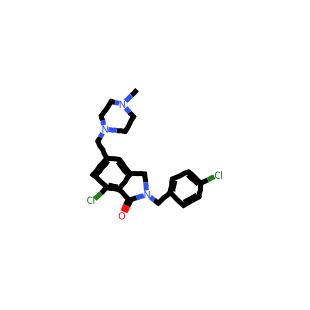 CN1CCN(Cc2cc(Cl)c3c(c2)CN(Cc2ccc(Cl)cc2)C3=O)CC1